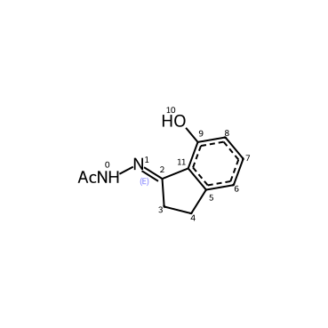 CC(=O)N/N=C1\CCc2cccc(O)c21